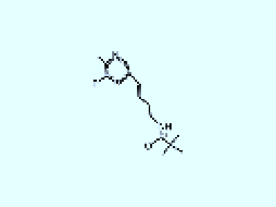 Cc1ncc(C=CCCN[S+]([O-])C(C)(C)C)cc1F